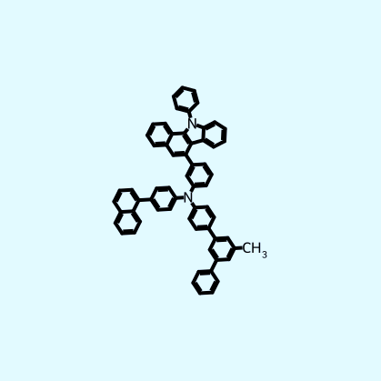 Cc1cc(-c2ccccc2)cc(-c2ccc(N(c3ccc(-c4cccc5ccccc45)cc3)c3cccc(-c4cc5ccccc5c5c4c4ccccc4n5-c4ccccc4)c3)cc2)c1